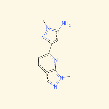 Cn1nc(-c2ccc3cnn(C)c3n2)cc1N